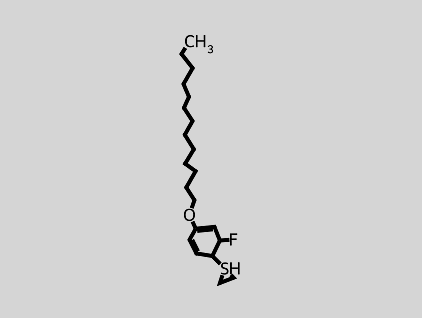 CCCCCCCCCCCCCOC1=CC(F)C([SH]2CC2)C=C1